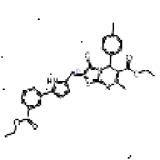 CCOC(=O)C1=C(C)N=c2s/c(=C\c3ccc(-c4cccc(C(=O)OCC)c4)[nH]3)c(=O)n2C1c1ccc(C)cc1